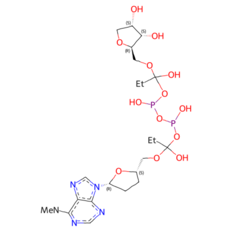 CCC(O)(OC[C@@H]1CC[C@H](n2cnc3c(NC)ncnc32)O1)OP(O)OP(O)OC(O)(CC)OC[C@H]1OC[C@H](O)[C@@H]1O